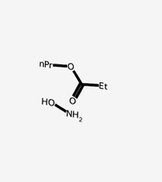 CCCOC(=O)CC.NO